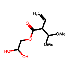 C=CC(C(=O)OCC(O)O)C(OC)OC